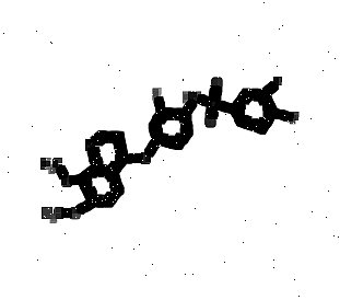 COc1ccc2c(Oc3ccc(NS(=O)(=O)c4ccc(F)c(F)c4)c(F)c3)ccnc2c1OC